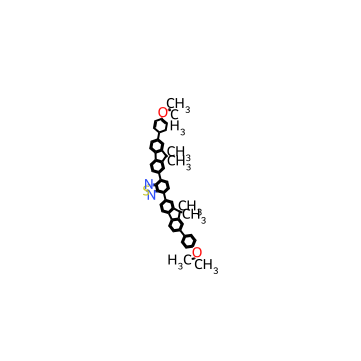 CC(C)OC1=CCC(c2ccc3c(c2)C(C)(C)c2cc(-c4ccc(-c5ccc6c(c5)C(C)(C)c5cc(-c7ccc(OC(C)C)cc7)ccc5-6)c5nsnc45)ccc2-3)C=C1